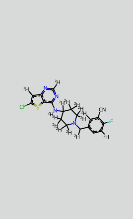 [2H]c1nc(N([2H])C2([2H])C([2H])([2H])C([2H])([2H])N(C([2H])c3cc([2H])c(F)c(C#N)c3[2H])C([2H])([2H])C2([2H])[2H])c2sc(Cl)c([2H])c2n1